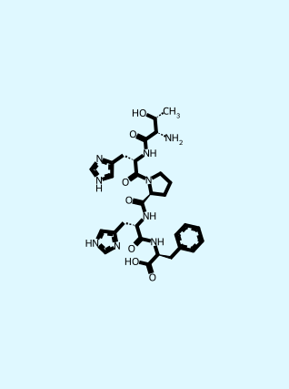 C[C@@H](O)[C@H](N)C(=O)N[C@@H](Cc1c[nH]cn1)C(=O)N1CCC[C@H]1C(=O)N[C@@H](Cc1c[nH]cn1)C(=O)N[C@@H](Cc1ccccc1)C(=O)O